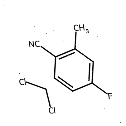 Cc1cc(F)ccc1C#N.ClCCl